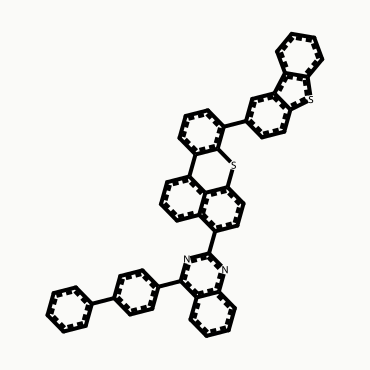 c1ccc(-c2ccc(-c3nc(-c4ccc5c6c(cccc46)-c4cccc(-c6ccc7sc8ccccc8c7c6)c4S5)nc4ccccc34)cc2)cc1